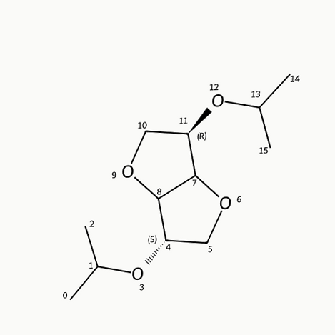 CC(C)O[C@H]1COC2C1OC[C@H]2OC(C)C